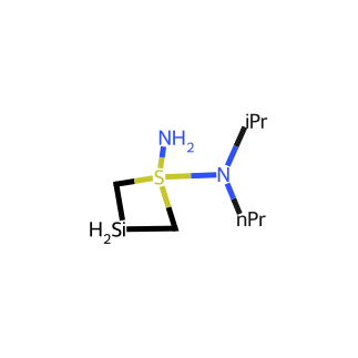 CCCN(C(C)C)S1(N)C[SiH2]C1